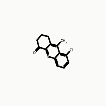 Cc1c2c(nc3cccc(Cl)c13)C(=O)CCC2